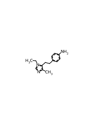 CCn1cnc(C)c1CCc1ccc(N)cc1